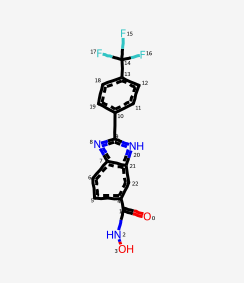 O=C(NO)c1ccc2nc(-c3ccc(C(F)(F)F)cc3)[nH]c2c1